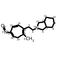 CC1=C(CCN2CC3CCCCC3C2)C=CC(N=O)=CC1